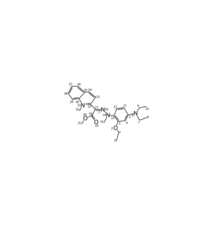 CCOc1cc(N(CC)CC)ccc1N(C)/N=C(\C(=O)OC)c1ccc2ccccc2[n+]1C